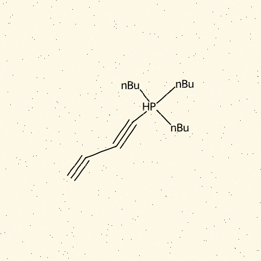 C#CC#C[PH](CCCC)(CCCC)CCCC